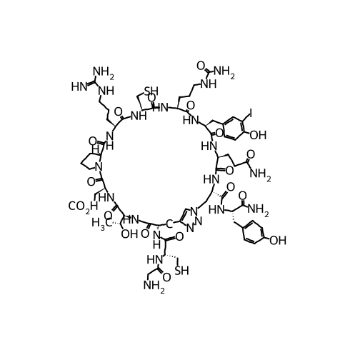 C[C@@H](O)[C@@H]1NC(=O)[C@@H](NC(=O)[C@H](CS)NC(=O)CN)Cc2cn(nn2)C[C@@H](C(=O)N[C@@H](Cc2ccc(O)cc2)C(N)=O)NC(=O)[C@H](CCC(N)=O)NC(=O)[C@H](Cc2ccc(O)c(I)c2)NC(=O)[C@H](CCCNC(N)=O)NC(=O)[C@H](CS)NC(=O)[C@H](CCCNC(=N)N)NC(=O)[C@@H]2CCCN2C(=O)[C@H](CC(=O)O)NC1=O